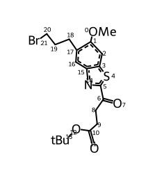 COc1cc2sc(C(=O)CCC(=O)OC(C)(C)C)nc2cc1CCCBr